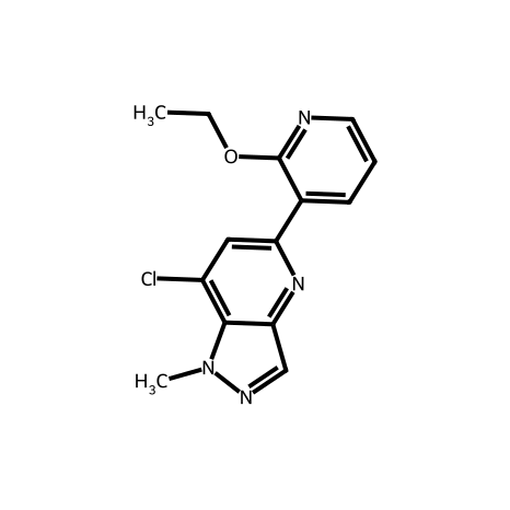 CCOc1ncccc1-c1cc(Cl)c2c(cnn2C)n1